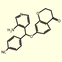 N#Cc1ccc(C(Oc2ccc3c(c2)OCCC3=O)c2ccncc2N)cc1